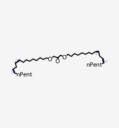 CCCCC/C=C\C/C=C\CCCCCCCCOCC(=O)COCCCCCCCC/C=C\C/C=C\CCCCC